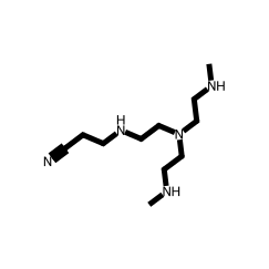 CNCCN(CCNC)CCNCCC#N